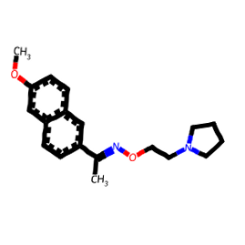 COc1ccc2cc(C(C)=NOCCN3CCCC3)ccc2c1